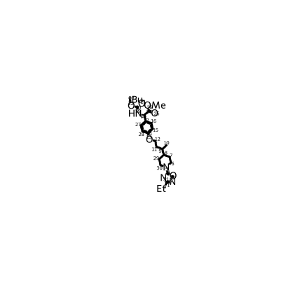 CCc1noc(N2CCC(C(C)CCOc3ccc([C@H](NC(=O)OC(C)(C)C)C(=O)OC)cc3)CC2)n1